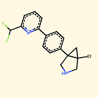 CCC12CNCC1(c1ccc(-c3cccc(C(F)F)n3)cc1)C2